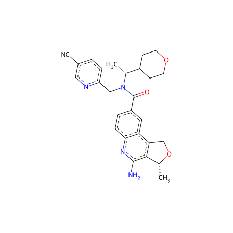 C[C@H](C1CCOCC1)N(Cc1ccc(C#N)cn1)C(=O)c1ccc2nc(N)c3c(c2c1)CO[C@@H]3C